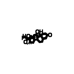 C[C@H]1CC2C3CCC4=CC(=O)C=CC4(C)[C@@]3(F)[C@@H](O)CC2(C)[C@@]1(O)C(=O)CI